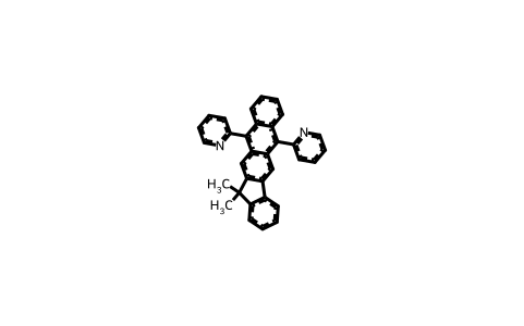 CC1(C)c2ccccc2-c2cc3c(-c4ccccn4)c4ccccc4c(-c4ccccn4)c3cc21